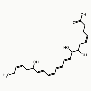 CC/C=C\CC(O)/C=C/C=C\C=C\C=C\C(O)C(O)C/C=C\CCC(=O)O